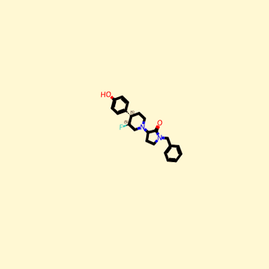 O=C1C(N2CC[C@@H](c3ccc(O)cc3)[C@H](F)C2)CCN1Cc1ccccc1